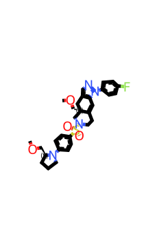 COC[C@@H]1CCCN1c1ccc(S(=O)(=O)N2CCC3=Cc4c(cnn4-c4ccc(F)cc4)C[C@]3(COC)C2)cc1